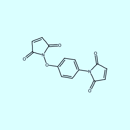 O=C1C=CC(=O)N1Oc1ccc(N2C(=O)C=CC2=O)cc1